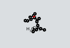 CC1(C)c2ccccc2-c2ccc(N(c3ccc(-c4ccccc4)cc3)c3ccc(-c4ccc5c(c4)c4ccccc4n5-c4cccc(-c5ccc(-c6ccc7ccccc7c6)c6cccc(-c7ccc8ccccc8c7)c56)c4)cc3)cc21